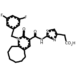 O=C(O)Cc1csc(NC(=O)c2cc3c(n(Cc4cc(F)cc(F)c4)c2=O)CCCCCC3)n1